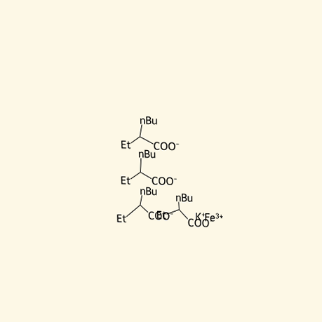 CCCCC(CC)C(=O)[O-].CCCCC(CC)C(=O)[O-].CCCCC(CC)C(=O)[O-].CCCCC(CC)C(=O)[O-].[Fe+3].[K+]